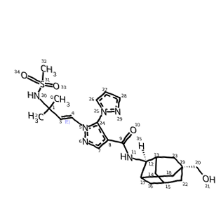 CC(C)(/C=C/n1ncc(C(=O)N[C@H]2C3CC4CC2C[C@](CO)(C4)C3)c1-n1cccn1)NS(C)(=O)=O